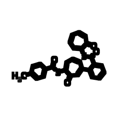 Cc1ccc(C(=O)Sc2cccc(-c3ccccc3C(=O)Sc3cccccc3=O)cc2=O)cc1